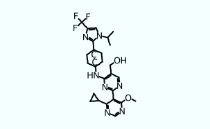 COc1ncnc(C2CC2)c1-c1ncc(CO)c(NC23CCC(c4nc(C(F)(F)F)cn4C(C)C)(CC2)CC3)n1